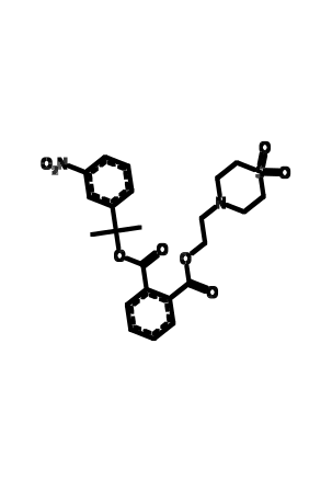 CC(C)(OC(=O)c1ccccc1C(=O)OCCN1CCS(=O)(=O)CC1)c1cccc([N+](=O)[O-])c1